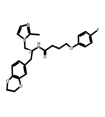 Cc1nccn1C[C@H](Cc1ccc2c(c1)OCCO2)NC(=O)CCCOc1ccc(F)cc1